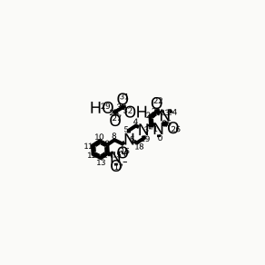 Cn1c(N2CCN(CCc3ccccc3[N+](=O)[O-])CC2)cc(=O)n(C)c1=O.O=C(O)C(=O)O